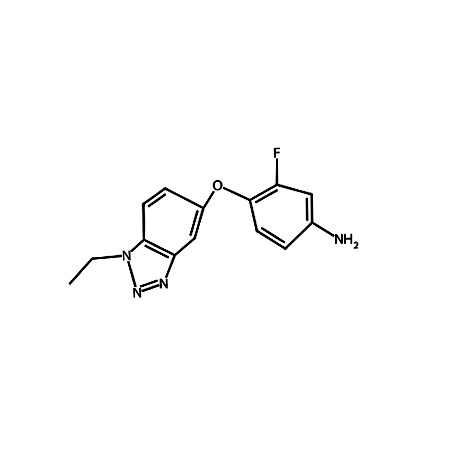 CCn1nnc2cc(Oc3ccc(N)cc3F)ccc21